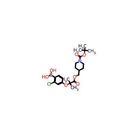 CC(C)(C)OC(=O)N1CCC(COC(=O)C(C)(C)Oc2ccc(B(O)O)c(Cl)c2)CC1